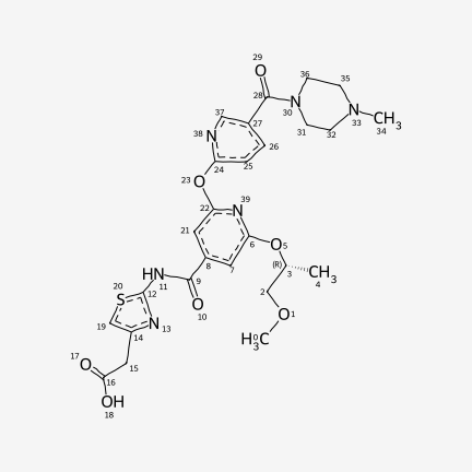 COC[C@@H](C)Oc1cc(C(=O)Nc2nc(CC(=O)O)cs2)cc(Oc2ccc(C(=O)N3CCN(C)CC3)cn2)n1